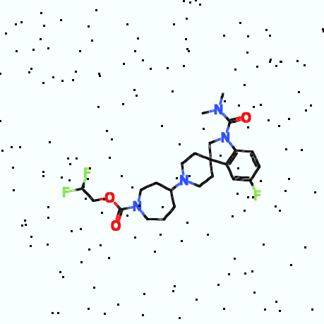 CN(C)C(=O)N1CC2(CCN(C3CCCN(C(=O)OCC(F)F)CC3)CC2)c2cc(F)ccc21